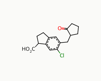 O=C1CCCC1Cc1cc2c(cc1Cl)C(C(=O)O)CC2